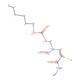 CCCCCCOC(=O)OCN(C=O)/C=C(/F)C(=O)NC